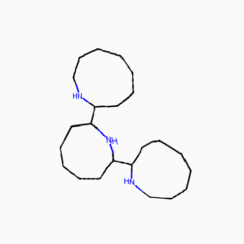 C1CCCNC(C2CCCCCC(C3CCCCCCCN3)N2)CCC1